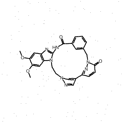 COc1cc2nc3n(c2cc1OC)CCn1cc(cn1)-c1ccc(=O)n(n1)Cc1cccc(c1)C(=O)N3